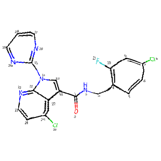 O=C(NCc1ccc(Cl)cc1F)c1cn(-c2ncccn2)c2nccc(Cl)c12